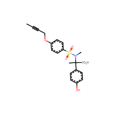 CC#CCOc1ccc(S(=O)(=O)N(C)C(C)(C(=O)O)c2ccc(O)cc2)cc1